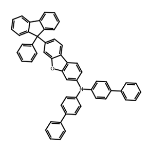 c1ccc(-c2ccc(N(c3ccc(-c4ccccc4)cc3)c3ccc4c(c3)oc3cc(C5(c6ccccc6)c6ccccc6-c6ccccc65)ccc34)cc2)cc1